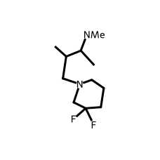 CNC(C)C(C)CN1CCCC(F)(F)C1